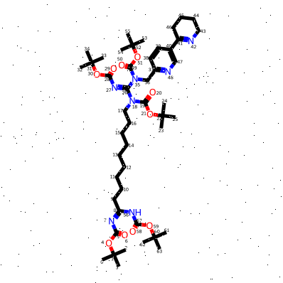 CC(C)(C)OC(=O)/N=C(/CCCCCCCCCN(C(=O)OC(C)(C)C)/C(=N/C(=O)OC(C)(C)C)N(Cc1ccc(C2=NCCCC2)cn1)C(=O)OC(C)(C)C)NC(=O)OC(C)(C)C